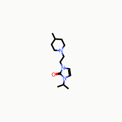 CC1CCN(CCn2ccn(C(C)C)c2=O)CC1